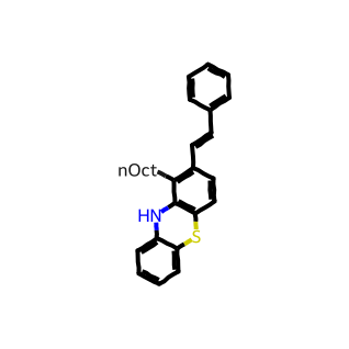 CCCCCCCCc1c(C=Cc2ccccc2)ccc2c1Nc1ccccc1S2